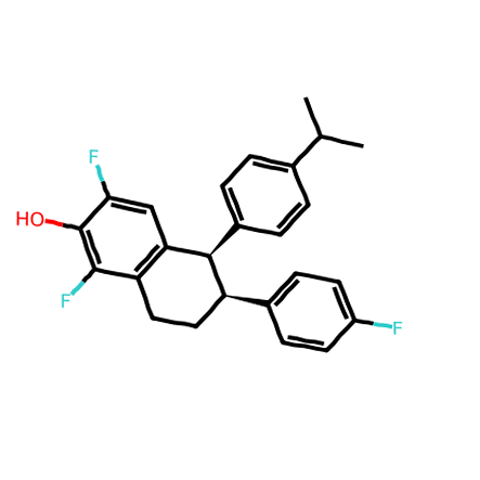 CC(C)c1ccc([C@@H]2c3cc(F)c(O)c(F)c3CC[C@@H]2c2ccc(F)cc2)cc1